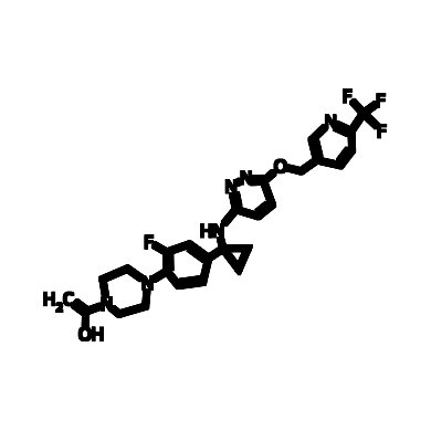 C=C(O)N1CCN(c2ccc(C3(Nc4ccc(OCc5ccc(C(F)(F)F)nc5)nn4)CC3)cc2F)CC1